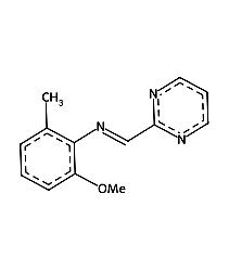 COc1cccc(C)c1N=Cc1ncccn1